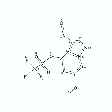 COc1cc(OS(=O)(=O)C(F)(F)F)c2c(N=O)cnn2c1